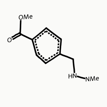 CNNCc1ccc(C(=O)OC)cc1